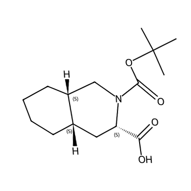 CC(C)(C)OC(=O)N1C[C@H]2CCCC[C@H]2C[C@H]1C(=O)O